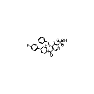 Cc1c(S(=O)(=O)O)ncc(C(=O)N2CCC(c3ccc(F)cc3)CC2)c1NCc1ccccc1